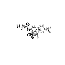 CN(C)C1CCN(c2ccc(OC(N)=O)c([N+](=O)[O-])c2C(C)(C)C)CC1